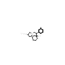 CN[C@@H]1CCN(CC(c2cccc(Cl)c2)C2(O)CCCCC2)C1